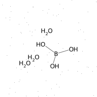 O.O.O.OB(O)O